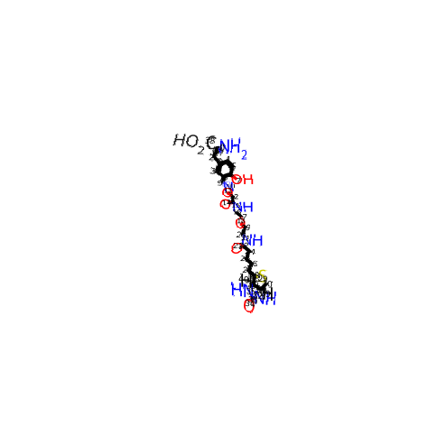 N[C@@H](Cc1ccc(O)c(/C=N/OCC(=O)NCCOCCNC(=O)CCCCC2SC[C@@H]3NC(=O)N[C@H]23)c1)C(=O)O